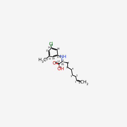 C=CCCCCC[C@H](Nc1cc(C)cc(Cl)c1)C(=O)O